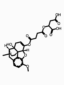 COc1ccc2c3c1O[C@H]1C(OC(=O)CCC(=O)OC(CC(=O)O)C(=O)O)=CC[C@@]4(O)[C@@H](C2)N(C)CC[C@]314